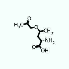 CC(=O)COC(C)C[C@H](N)C(=O)O